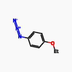 CCOc1ccc(N=[N+]=[N-])cc1